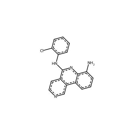 Nc1cccc2c1nc(Nc1ccccc1Cl)c1ccncc12